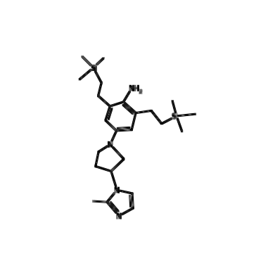 Cc1nccn1C1CCN(c2cc(CC[Si](C)(C)C)c(N)c(CC[Si](C)(C)C)c2)C1